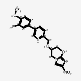 O=[N+]([O-])c1cn2c(n1)OCC(OCc1ccc(-c3ccc(OC(F)(F)F)c(F)c3)cn1)C2